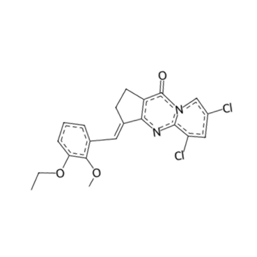 CCOc1cccc(/C=C2\CCc3c2nc2c(Cl)cc(Cl)cn2c3=O)c1OC